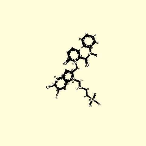 CN(C(=O)c1cccc(=O)n1Cc1cc2nc(Cl)c(F)cc2n1COCC[Si](C)(C)C)c1ccccc1